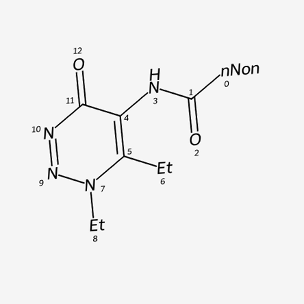 CCCCCCCCCC(=O)Nc1c(CC)n(CC)nnc1=O